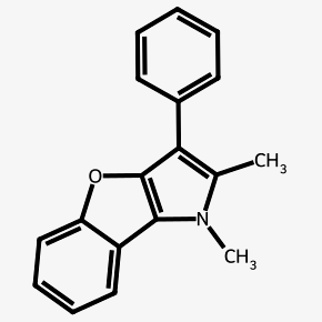 Cc1c(-c2ccccc2)c2oc3ccccc3c2n1C